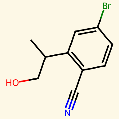 C[C](CO)c1cc(Br)ccc1C#N